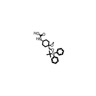 CO[C@]1(CO[Si](c2ccccc2)(c2ccccc2)C(C)(C)C)CC[C@@H](NC(=O)O)CC1